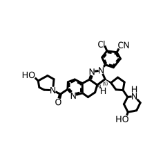 N#Cc1ccc(N2N=C3c4ccc(C(=O)N5CCC(O)CC5)nc4CC[C@@H]3[C@@H]2C2CCC(C3CC(O)CCN3)C2)cc1Cl